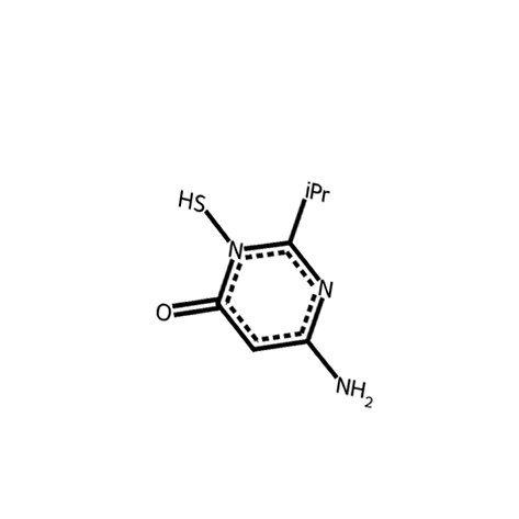 CC(C)c1nc(N)cc(=O)n1S